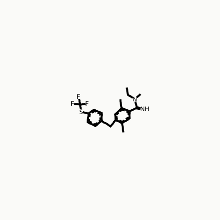 CCN(C)C(=N)c1cc(C)c(Cc2ccc(SC(F)(F)F)cc2)cc1C